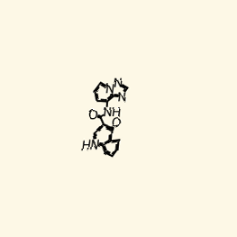 O=C(Nc1cccn2ncnc12)c1c[nH]c2ccccc2c1=O